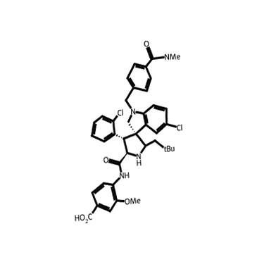 CNC(=O)c1ccc(CN2C[C@]3(c4cc(Cl)ccc42)C(CC(C)(C)C)N[C@@H](C(=O)Nc2ccc(C(=O)O)cc2OC)[C@@H]3c2ccccc2Cl)cc1